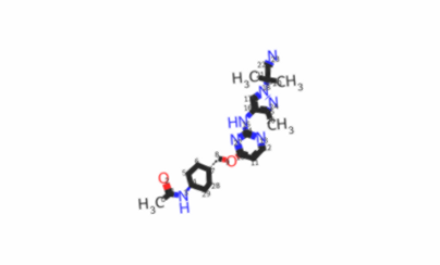 CC(=O)N[C@H]1CC[C@H](COc2ccnc(Nc3cn(C(C)(C)C#N)nc3C)n2)CC1